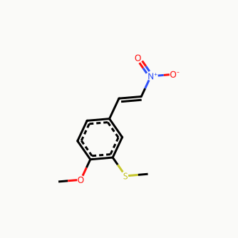 COc1ccc(/C=C/[N+](=O)[O-])cc1SC